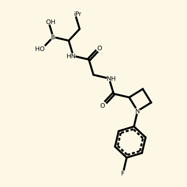 CC(C)CC(NC(=O)CNC(=O)C1CCN1c1ccc(F)cc1)B(O)O